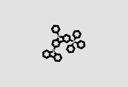 c1ccc(-n2c3ccc(-n4c5ccccc5c5ccccc54)cc3c3cc(S(c4ccccc4)(c4ccccc4)c4ccccc4)ccc32)cc1